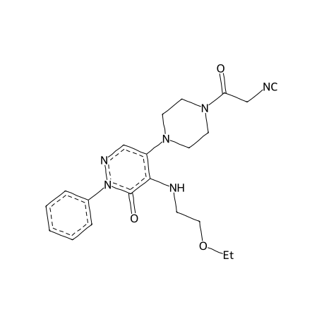 [C-]#[N+]CC(=O)N1CCN(c2cnn(-c3ccccc3)c(=O)c2NCCOCC)CC1